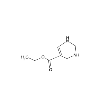 CCOC(=O)C1=CNCNC1